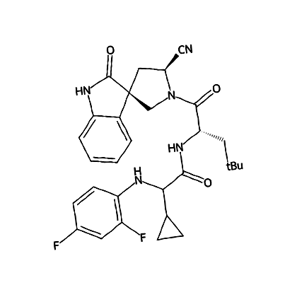 CC(C)(C)C[C@H](NC(=O)C(Nc1ccc(F)cc1F)C1CC1)C(=O)N1C[C@]2(C[C@H]1C#N)C(=O)Nc1ccccc12